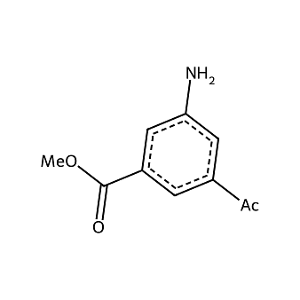 COC(=O)c1cc(N)cc(C(C)=O)c1